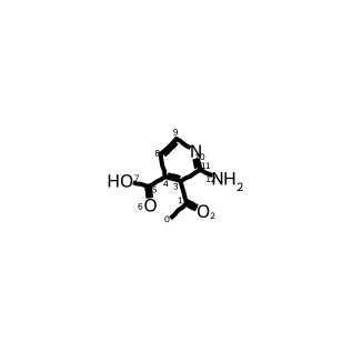 CC(=O)c1c(C(=O)O)ccnc1N